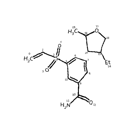 C=CS(=O)(=O)c1cccc(C(N)=O)c1.CCC1COC(C)C1